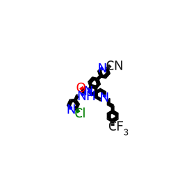 N#Cc1ccc(-c2ccc3c(c2)C2(CCN(C/C=C/c4ccc(C(F)(F)F)cc4)CC2)CN3C(=O)NCc2ccnc(Cl)c2)cn1